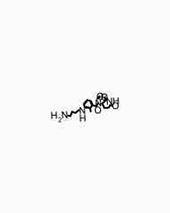 Cc1c(NCCCCN)cccc1C(=O)N(C=O)C1CCC(=O)NC1=O